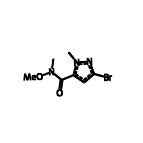 CON(C)C(=O)c1cc(Br)nn1C